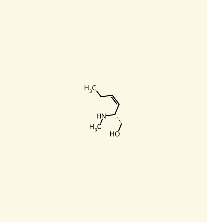 CC/C=C\[C@H](CO)NC